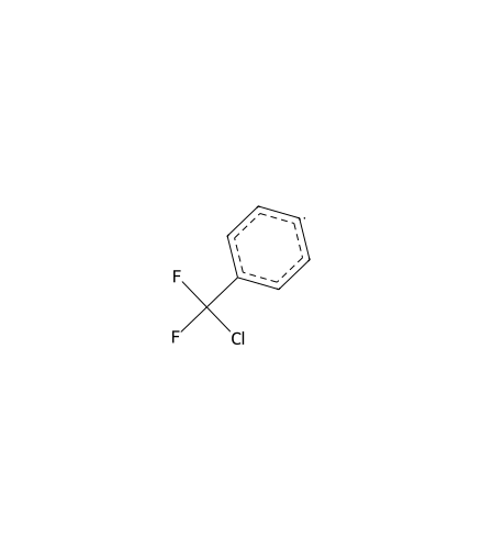 FC(F)(Cl)c1cc[c]cc1